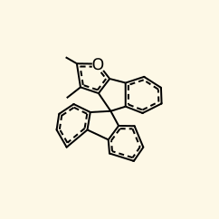 Cc1oc2c(c1C)C1(c3ccccc3-c3ccccc31)c1ccccc1-2